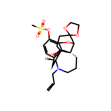 C=CCN1CCC[C@]23c4c5ccc(OS(C)(=O)=O)c4OC2C2(CCC3(O)[C@H]1C5)OCCO2